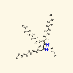 [CH2]CCCc1nc(CCCCCCCCCCC)c(CCCCCCCCCCC)c(CCCCCCCCCCC)n1